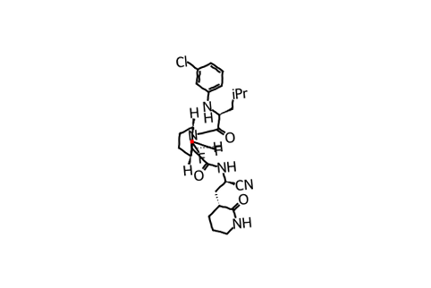 CC(C)C[C@H](Nc1cccc(Cl)c1)C(=O)N1[C@H]2CC[C@@H]([C@@H]1C(=O)N[C@@H](C#N)C[C@H]1CCCNC1=O)C(F)(F)C2